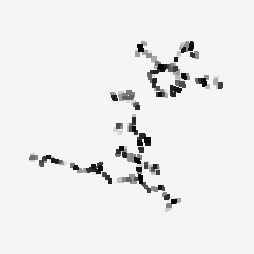 CCCOCN(CCCl)S(=O)(=O)OC(=O)CO.Cc1cccc(C)c1N